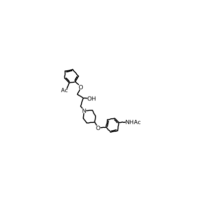 CC(=O)Nc1ccc(OC2CCN(CC(O)COc3ccccc3C(C)=O)CC2)cc1